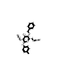 Cc1ccc(S[C@@H]2O[C@@H](CN=[N+]=[N-])[C@@H](OCc3ccccc3)[C@H](F)[C@H]2N=[N+]=[N-])cc1